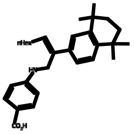 CCCCCCC=C(CNc1ccc(C(=O)O)cc1)c1ccc2c(c1)C(C)(C)CCC2(C)C